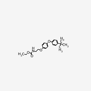 CCOC(=O)NCCOc1ccc(Oc2ccc(C(C)(C)C)cc2)cc1